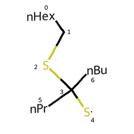 CCCCCCCSC([S])(CCC)CCCC